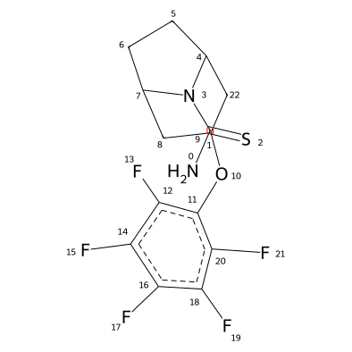 NC(=S)N1C2CCC1CC(Oc1c(F)c(F)c(F)c(F)c1F)C2